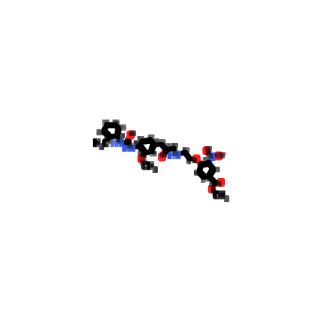 COC(=O)c1ccc(OCCNCC(=O)Cc2ccc(NC(=O)Nc3ccccc3C)c(OC)c2)c([N+](=O)[O-])c1